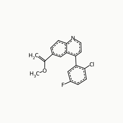 C=C(OC)c1ccc2nccc(-c3cc(F)ccc3Cl)c2c1